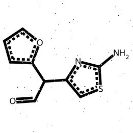 Nc1nc(C([C]=O)c2ccco2)cs1